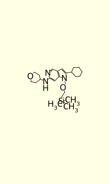 C[Si](C)(C)CCOCn1c(C2CCCCC2)cc2cnc(NC3CCOCC3)cc21